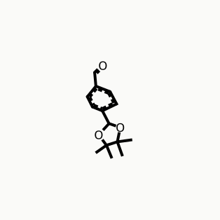 CC1(C)OC(c2ccc(C=O)cc2)OC1(C)C